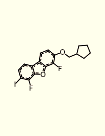 Fc1c(I)ccc2c1oc1c(F)c(OCC3CCCC3)ccc12